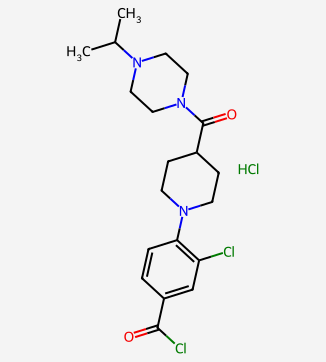 CC(C)N1CCN(C(=O)C2CCN(c3ccc(C(=O)Cl)cc3Cl)CC2)CC1.Cl